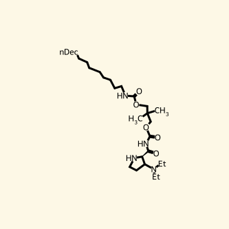 CCCCCCCCCCCCCCCCCCNC(=O)OCC(C)(C)COC(=O)NC(=O)[C@@H]1NCCC1N(CC)CC